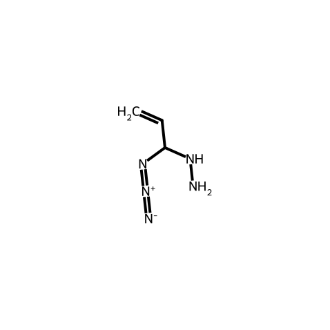 C=CC(N=[N+]=[N-])NN